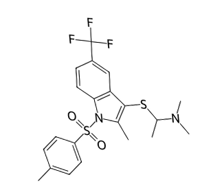 Cc1ccc(S(=O)(=O)n2c(C)c(SC(C)N(C)C)c3cc(C(F)(F)F)ccc32)cc1